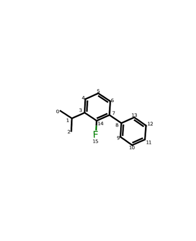 CC(C)c1cccc(-c2ccccc2)c1F